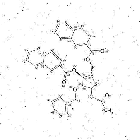 CC(=O)OC1S[C@H](COC(=O)c2ccc3ccccc3c2)[C@H](OC(=O)c2ccc3ccccc3c2)[C@H]1OCc1ccccc1